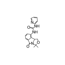 CC1(C)OCC2c3c(NC(=O)Nc4ccccn4)cccc3C(=O)N21